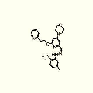 Cc1ccc(N)c(N/N=C\c2cc(N3CCOCC3)cc(OCCc3ccccn3)n2)c1